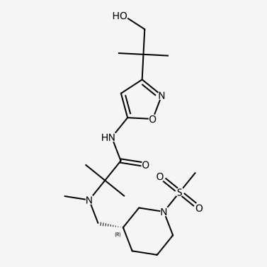 CN(C[C@H]1CCCN(S(C)(=O)=O)C1)C(C)(C)C(=O)Nc1cc(C(C)(C)CO)no1